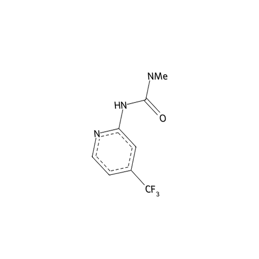 CNC(=O)Nc1cc(C(F)(F)F)ccn1